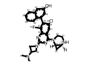 CN(C)C1CN(c2nc(N3CCN[C@H]4C[C@H]43)c3cc(Cl)c(-c4cc(O)cc5ccccc45)c(F)c3n2)C1